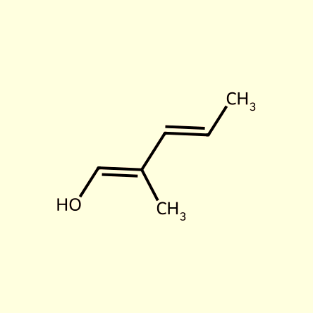 C/C=C/C(C)=C/O